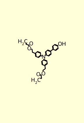 C=CC(=O)OCCc1ccc(N(c2ccc(CCOC(=O)C=C)cc2)c2ccc(-c3ccc(O)cc3)cc2)cc1